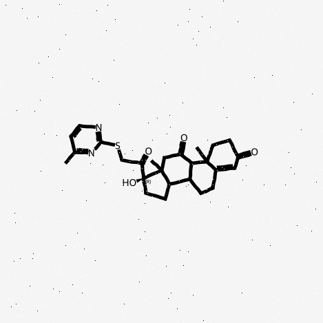 Cc1ccnc(SCC(=O)[C@@]2(O)CCC3C4CCC5=CC(=O)CCC5(C)C4C(=O)CC32C)n1